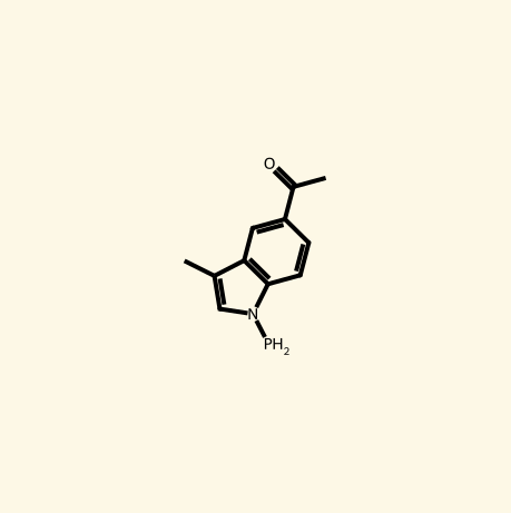 CC(=O)c1ccc2c(c1)c(C)cn2P